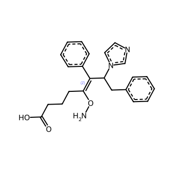 NO/C(CCCC(=O)O)=C(/c1ccccc1)C(Cc1ccccc1)n1ccnc1